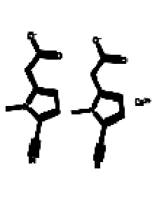 Cn1c(C#N)ccc1CC(=O)[O-].Cn1c(C#N)ccc1CC(=O)[O-].[Ca+2]